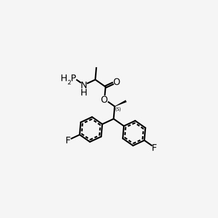 CC(NP)C(=O)O[C@@H](C)C(c1ccc(F)cc1)c1ccc(F)cc1